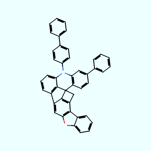 c1ccc(-c2ccc(N3c4cc(-c5ccccc5)ccc4C45Cc6c4c(cc4oc7ccccc7c64)-c4cccc3c45)cc2)cc1